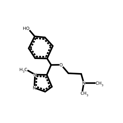 CN(C)CCOC(c1ccc(O)cc1)c1ccnn1C